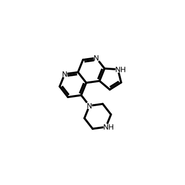 c1cc(N2CCNCC2)c2c(cnc3[nH]ccc32)n1